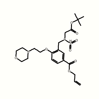 C=CCOC(=O)c1ccc(OCCN2CCOCC2)c(CN(CC(=O)OC(C)(C)C)[SH](=O)=O)c1